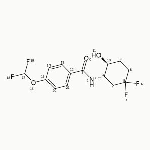 O=C(N[C@H]1CC(F)(F)CC[C@@H]1O)c1ccc(OC(F)F)cc1